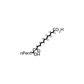 CCCCCC(O)OC(=O)CCCCCCCCCCC(=O)O